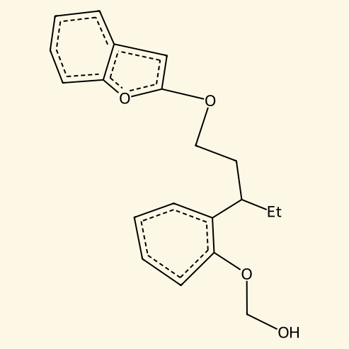 CCC(CCOc1cc2ccccc2o1)c1ccccc1OCO